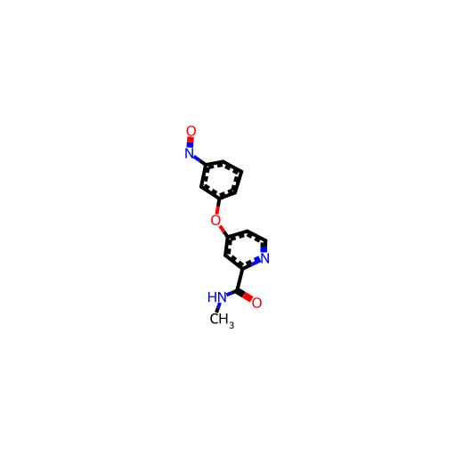 CNC(=O)c1cc(Oc2cccc(N=O)c2)ccn1